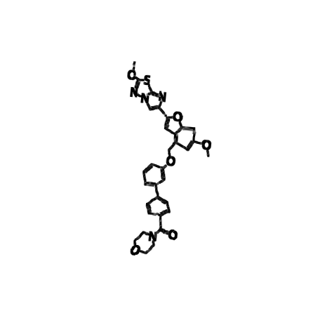 COc1cc(COc2cccc(-c3ccc(C(=O)N4CCOCC4)cc3)c2)c2cc(-c3cn4nc(OC)sc4n3)oc2c1